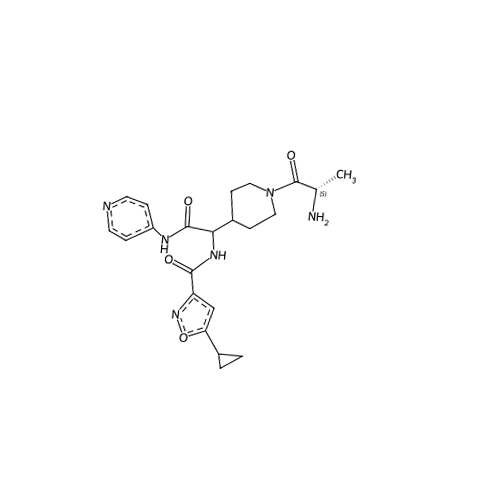 C[C@H](N)C(=O)N1CCC(C(NC(=O)c2cc(C3CC3)on2)C(=O)Nc2ccncc2)CC1